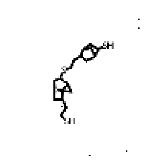 SCCC1CC2CC(SCCC3CC4CC3CC4S)C3CC123